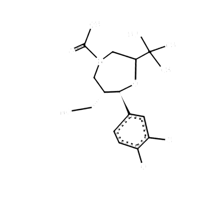 CC(C)(C)C1CN(C(=O)O)C[C@@H](CO)[C@H](c2ccc(Cl)c(Cl)c2)O1